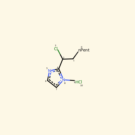 CCCCCCC(Cl)c1nccn1C.Cl